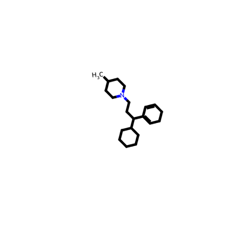 CC1CCN(CCC(C2=CCCC=C2)C2CCCCC2)CC1